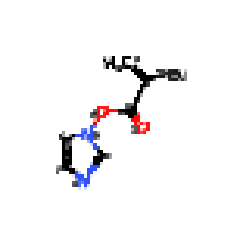 C=C(C(=O)On1ccnc1)C(C)(C)C